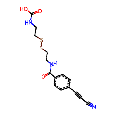 N#CC#Cc1ccc(C(=O)NCCSSCCNC(=O)O)cc1